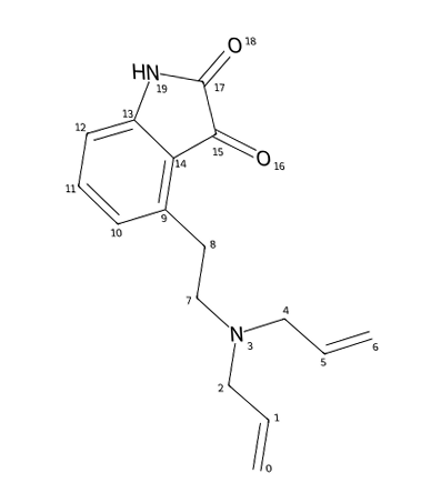 C=CCN(CC=C)CCc1cccc2c1C(=O)C(=O)N2